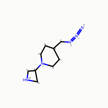 [N-]=[N+]=NCC1CCN(C2CNC2)CC1